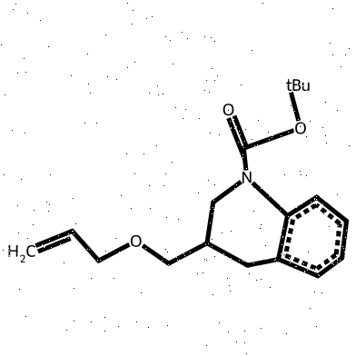 C=CCOCC1Cc2ccccc2N(C(=O)OC(C)(C)C)C1